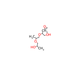 C1CO1.CC(O)COC(C)COC(C)CO